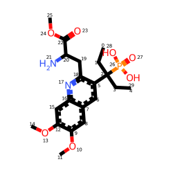 CCC(CC)(c1cc2cc(OC)c(OC)cc2nc1CC(N)C(=O)OC)P(=O)(O)O